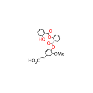 COc1cc(C=CC(=O)O)ccc1OC(=O)c1ccccc1OC(=O)c1ccccc1O